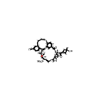 CO[C@@]12/C=C/C[C@H](C)[C@@H](C)S(=O)(NC(=O)C3CC(C)(O)C3)=NC(=O)c3ccc4c(c3)N(Cc3ccc(Cl)cc3CCCCO4)C[C@H](C1)[C@H]2C